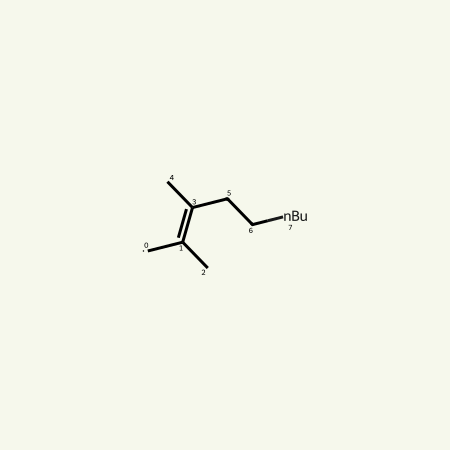 [CH2]C(C)=C(C)CCCCCC